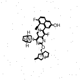 C#Cc1c(F)ccc2cc(O)cc(-c3ncc4c(N5C[C@H]6CC[C@@H](C5)N6)nc(OC[C@@]56CCCN5CC(=C)C6)nc4c3F)c12